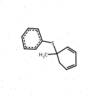 CC1(Sc2ccccc2)C=CC=CC1